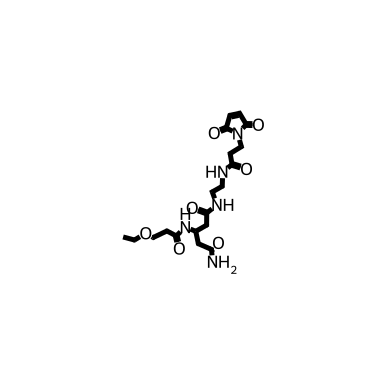 CCOCCC(=O)NC(CC(N)=O)CC(=O)NCCNC(=O)CCN1C(=O)C=CC1=O